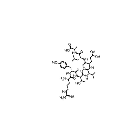 CC(C)C[C@@H](NC(=O)[C@@H](CCC(O)O)NC(=O)[C@H](NC(=O)[C@H](NC(=O)[C@@H](Cc1ccc(O)cc1)NC(=O)[C@H](N)CCCNC(=N)N)C(C)O)C(C)C)C(=O)N[C@H](C)C(=O)O